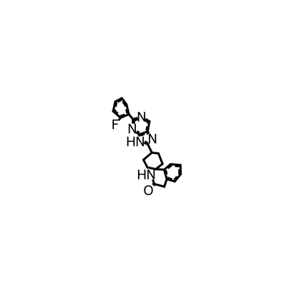 O=C1Cc2ccccc2C2(CCC(c3nc4cnc(-c5ccccc5F)nc4[nH]3)CC2)N1